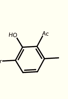 CC(=O)c1c(C)ccc(C(C)C)c1O